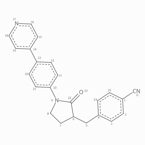 N#Cc1ccc(CC2CCN(c3ccc(-c4ccncc4)cc3)C2=O)cc1